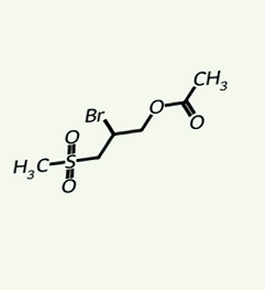 CC(=O)OCC(Br)CS(C)(=O)=O